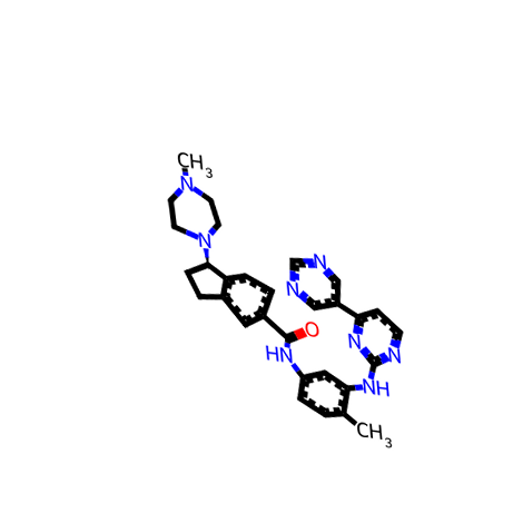 Cc1ccc(NC(=O)c2ccc3c(c2)CC[C@H]3N2CCN(C)CC2)cc1Nc1nccc(-c2cncnc2)n1